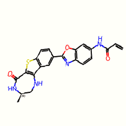 C=CC(=O)Nc1ccc2nc(-c3ccc4sc5c(c4c3)NC[C@@H](C)NC5=O)oc2c1